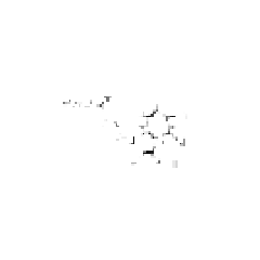 COC(=O)CCCn1c(C)c(C=O)c2c(N)c(C)ccc21